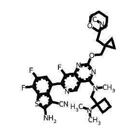 CN(CC1(N(C)C)CCC1)c1nc(OCC2(CN3CC4CCC3CO4)CC2)nc2c(F)c(-c3cc(F)c(F)c4sc(N)c(C#N)c34)ncc12